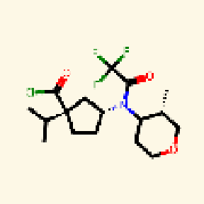 CC(C)[C@]1(C(=O)Cl)CC[C@@H](N(C(=O)C(F)(F)F)C2CCOC[C@H]2C)C1